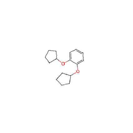 c1ccc(OC2CCCC2)c(OC2CCCC2)c1